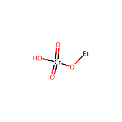 CC[O][Cr](=[O])(=[O])[OH]